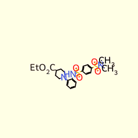 CCOC(=O)C1CCN(c2ccccc2NS(=O)(=O)c2ccc(S(=O)(=O)N(C)C)cc2)CC1